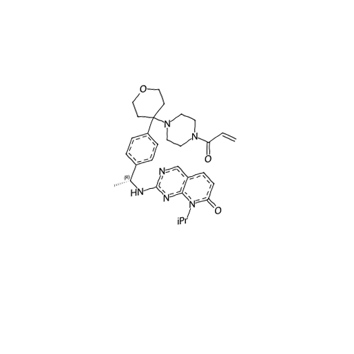 C=CC(=O)N1CCN(C2(c3ccc([C@@H](C)Nc4ncc5ccc(=O)n(C(C)C)c5n4)cc3)CCOCC2)CC1